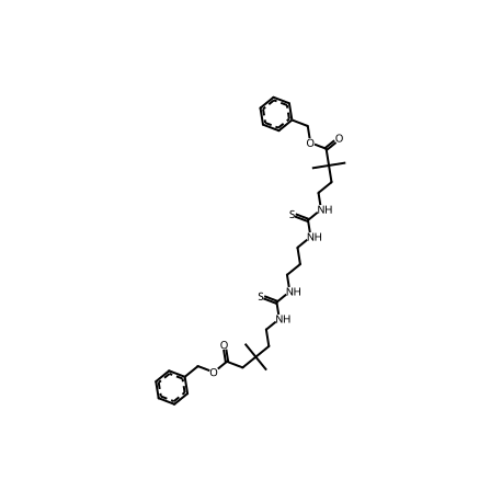 CC(C)(CCNC(=S)NCCCNC(=S)NCCC(C)(C)C(=O)OCc1ccccc1)CC(=O)OCc1ccccc1